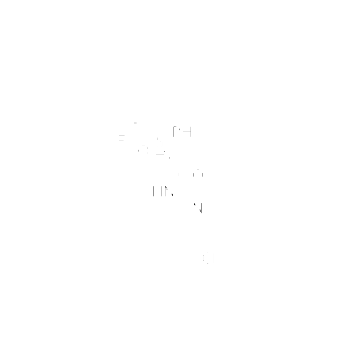 Cc1ccc([SH](=O)(P)C(C)(C)C(=O)Nc2ccc(C(F)(F)F)cn2)c(F)c1